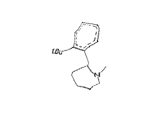 CN1CCCCC1c1ccccc1C(C)(C)C